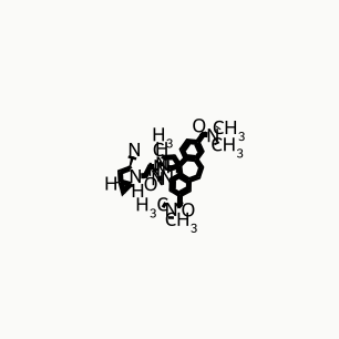 C[C@H](CC1(c2nnn[nH]2)c2ccc(C(=O)N(C)C)cc2CCc2cc(C(=O)N(C)C)ccc21)NCC(=O)N1[C@H](C#N)C[C@@H]2C[C@@H]21